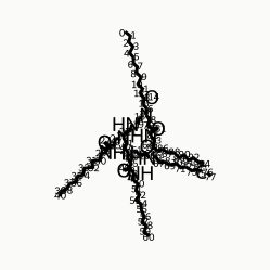 CCCCCCCCCCCCCC(=O)CCN(CCNCCN(CCC(=O)NCCCCCCCCCCCC)CCN(CCC(=O)NCCCCCCCCCCCC)CCC(=O)NCCCCCCCCCCCC)CCC(=O)NCCCCCCCCCCCC